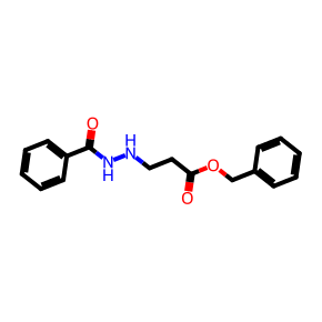 O=C(CCNNC(=O)c1ccccc1)OCc1ccccc1